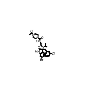 CC(=O)N1CCN(C(=O)NCCN(C(C)C)C2(Cc3cccc(Cl)c3)C(=O)Nc3cc(Br)ccc32)CC1